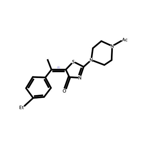 CCc1ccc(/C(C)=C2/SC(N3CCN(C(C)=O)CC3)=NC2=O)cc1